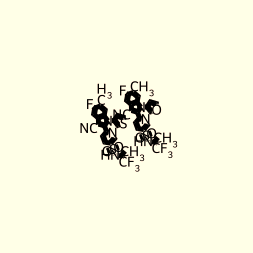 Cc1cc2c(cc1F)c(C#N)c(-c1ccc(S(=O)(=O)N[C@@H](C)C(F)(F)F)cn1)n2-c1ccoc1.Cc1cc2c(cc1F)c(C#N)c(-c1ccc(S(=O)(=O)N[C@@H](C)C(F)(F)F)cn1)n2-c1ccsc1